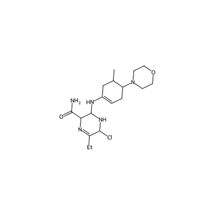 CCC1=NC(C(N)=O)C(NC2=CCC(N3CCOCC3)C(C)C2)NC1Cl